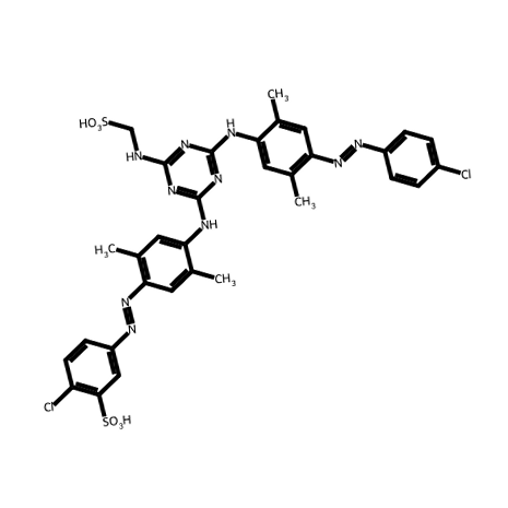 Cc1cc(Nc2nc(NCS(=O)(=O)O)nc(Nc3cc(C)c(/N=N/c4ccc(Cl)c(S(=O)(=O)O)c4)cc3C)n2)c(C)cc1/N=N/c1ccc(Cl)cc1